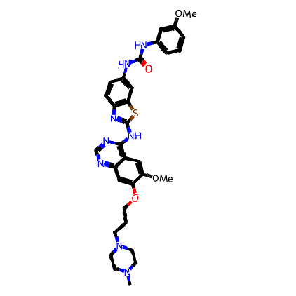 COc1cccc(NC(=O)Nc2ccc3nc(Nc4ncnc5cc(OCCCN6CCN(C)CC6)c(OC)cc45)sc3c2)c1